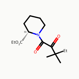 CCOC(=O)[C@@H]1CCCCN1C(=O)C(=O)C(C)(C)CC